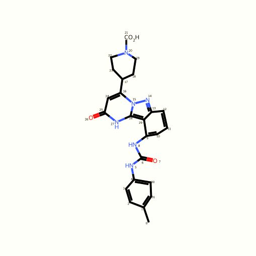 Cc1ccc(NC(=O)Nc2cccc3nn4c(C5CCN(C(=O)O)CC5)cc(=O)[nH]c4c23)cc1